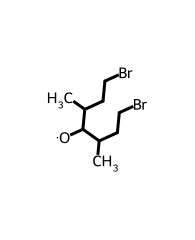 CC(CCBr)C([O])C(C)CCBr